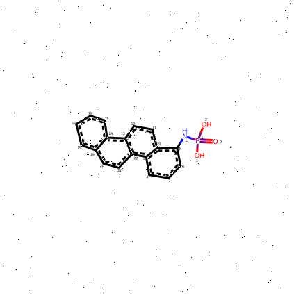 O=P(O)(O)Nc1cccc2c1ccc1c3ccccc3ccc21